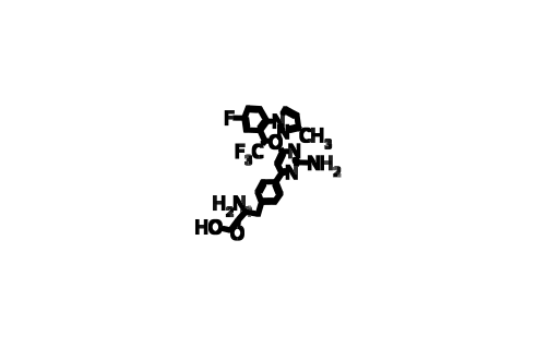 Cc1ccn(-c2ccc(F)cc2C(Oc2cc(-c3ccc(C[C@H](N)C4OC4O)cc3)nc(N)n2)C(F)(F)F)n1